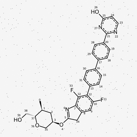 C[C@H]1C[C@@H](OC2=Nc3c(cc(F)c(-c4ccc(-c5ccc(-c6nccc(O)n6)cc5)cc4)c3F)C2)CO[C@@H]1CO